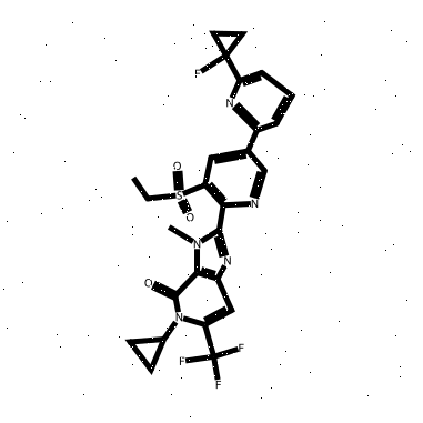 CCS(=O)(=O)c1cc(-c2cccc(C3(F)CC3)n2)cnc1-c1nc2cc(C(F)(F)F)n(C3CC3)c(=O)c2n1C